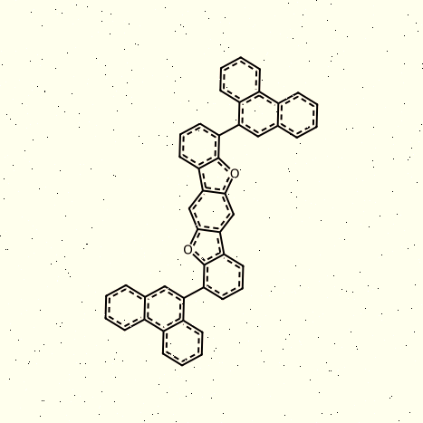 c1ccc2c(c1)cc(-c1cccc3c1oc1cc4c(cc13)oc1c(-c3cc5ccccc5c5ccccc35)cccc14)c1ccccc12